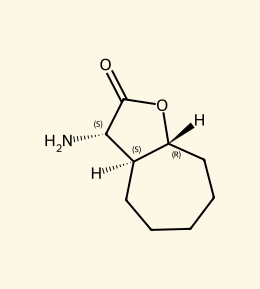 N[C@@H]1C(=O)O[C@@H]2CCCCC[C@@H]12